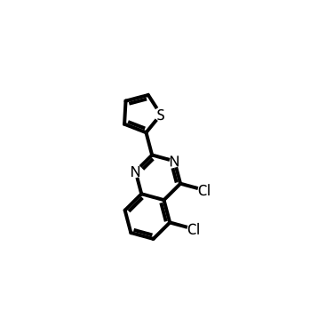 Clc1cccc2nc(-c3cccs3)nc(Cl)c12